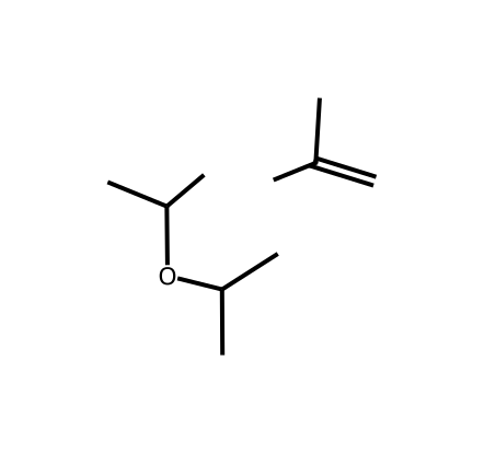 C=C(C)C.CC(C)OC(C)C